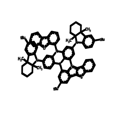 CC(C)(C)c1ccc2c(c1)C1(C)CCCCC1(C)N2c1ccc2c(c1)N(c1cccc3c1oc1ccccc13)c1cc(N3c4ccc(C(C)(C)C)cc4C4(C)CCCCC34C)cc3c1B2c1cc(C(C)(C)C)cc2c4sc5ccccc5c4n-3c12